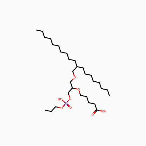 CCCCCCCCCCC(CCCCCCCC)COCC(COP(=O)(O)OCCC)OCCCCC(=O)O